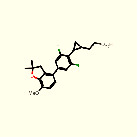 COc1ccc(-c2cc(F)c(C3CC3CCC(=O)O)c(F)c2)c2c1OC(C)(C)C2